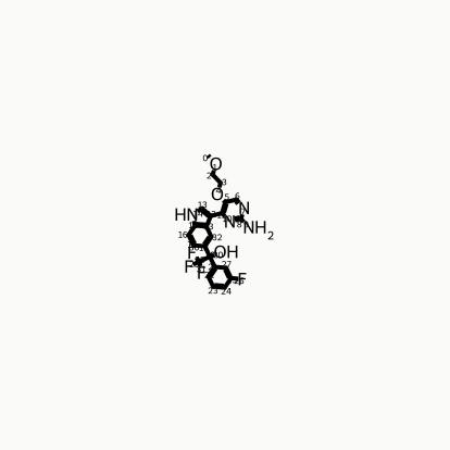 COCCOc1cnc(N)nc1-c1c[nH]c2ccc(C(O)(c3cccc(F)c3)C(F)(F)F)cc12